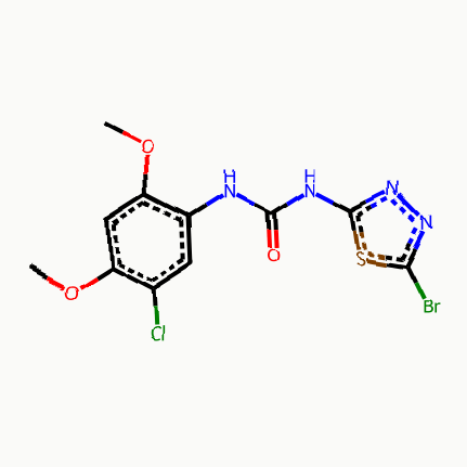 COc1cc(OC)c(NC(=O)Nc2nnc(Br)s2)cc1Cl